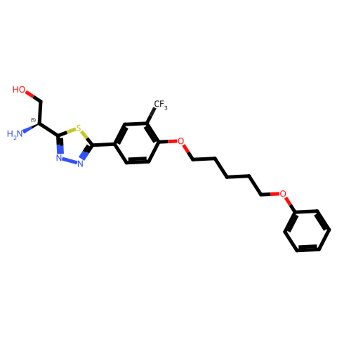 N[C@@H](CO)c1nnc(-c2ccc(OCCCCCOc3ccccc3)c(C(F)(F)F)c2)s1